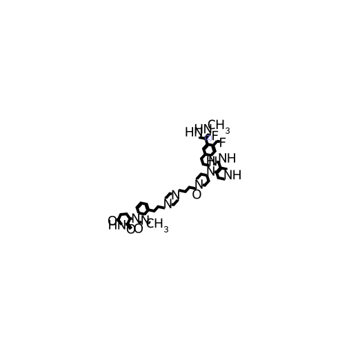 CN/C=C(\C=N)C1=CC2CCCN(C(=N)C3=C(NC4CCN(C(=O)CCCN5CCN(CCCC6=CC=CC7C6N(C)C(=O)N7C6CCC(=O)NC6=O)CC5)CC4)CCNC3)C2C=C1C(F)F